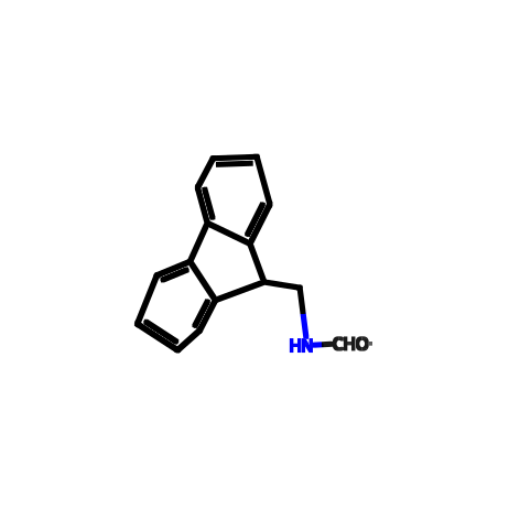 O=[C]NCC1c2ccccc2-c2ccccc21